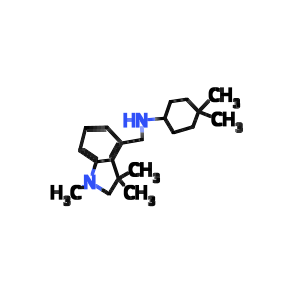 CN1CC(C)(C)c2c(CNC3CCC(C)(C)CC3)cccc21